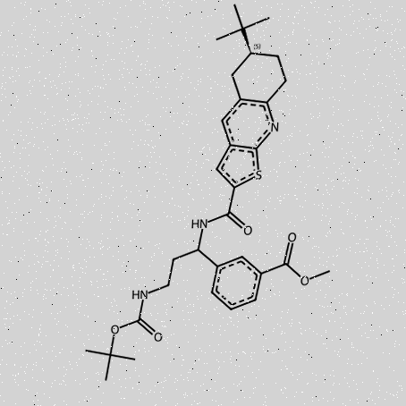 COC(=O)c1cccc(C(CCNC(=O)OC(C)(C)C)NC(=O)c2cc3cc4c(nc3s2)CC[C@H](C(C)(C)C)C4)c1